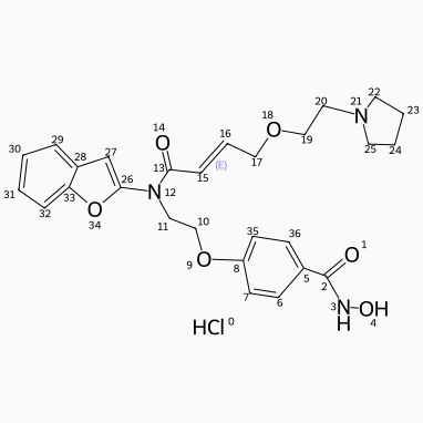 Cl.O=C(NO)c1ccc(OCCN(C(=O)/C=C/COCCN2CCCC2)c2cc3ccccc3o2)cc1